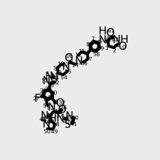 O=C1CC[C@H](Nc2ccc(C3CCN(CC(=O)N4CCC(n5cc(-c6cc(F)c7c(c6)C(=O)N(C(C(=O)Nc6nccs6)c6ncn8c6CCC8)C7)nn5)CC4)CC3)cc2)C(=O)N1